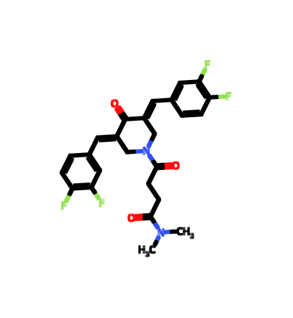 CN(C)C(=O)CCC(=O)N1C/C(=C\c2ccc(F)c(F)c2)C(=O)/C(=C/c2ccc(F)c(F)c2)C1